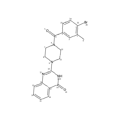 Cc1cc(C(=O)N2CCN(c3nc4ccccc4c(=O)[nH]3)CC2)ccc1Br